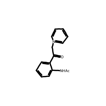 CC(=O)Nc1ccccc1C(=O)C[n+]1ccccc1